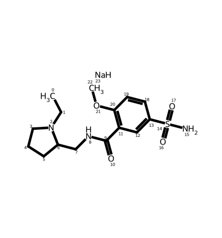 CCN1CCCC1CNC(=O)c1cc(S(N)(=O)=O)ccc1OC.[NaH]